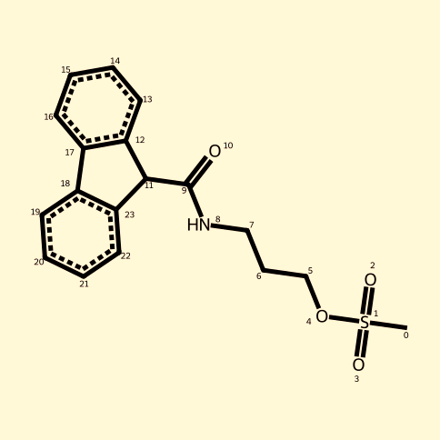 CS(=O)(=O)OCCCNC(=O)C1c2ccccc2-c2ccccc21